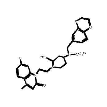 Cc1cc(=O)n(CCN2CCC(N(Cc3ccc4c(c3)OCCO4)C(=O)O)CC2C(C)(C)C)c2cc(F)ccc12